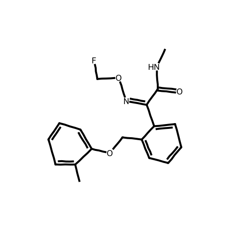 CNC(=O)C(=NOCF)c1ccccc1COc1ccccc1C